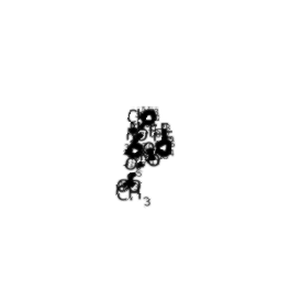 COC(=O)CC[C@H]1CN(S(=O)(=O)c2cccc(C(F)(F)F)c2)c2cc(-c3nnc(-c4c(F)cccc4Cl)o3)ccc2O1